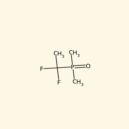 CC(F)(F)P(C)(C)=O